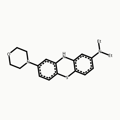 CCN(CC)c1ccc2c(c1)Nc1cc(N3CCOCC3)ccc1S2